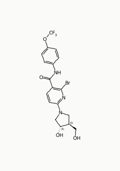 O=C(Nc1ccc(OC(F)(F)F)cc1)c1ccc(N2C[C@@H](CO)[C@H](O)C2)nc1Br